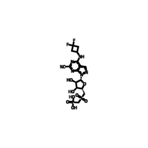 N#Cc1nc(NC2CC(F)(F)C2)c2cnn([C@@H]3O[C@H](CS(=O)(=O)CP(=O)(O)O)[C@@H](O)[C@H]3O)c2n1